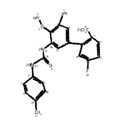 CCCOc1c(CCC)cc(-c2cc(F)ccc2C(=O)O)cc1NC(=O)Nc1ccc(C)cc1